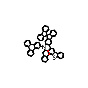 c1ccc2c(c1)-c1ccccc1C21c2ccccc2-c2cc(-c3ccc4sc5ccccc5c4c3)c(N(c3ccc4ccccc4c3)c3ccc4c5ccccc5c5ccccc5c4c3)cc21